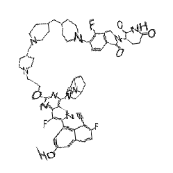 C#Cc1c(F)ccc2cc(O)cc(-c3ncc4c(N5CC6CCC(C5)N6)nc(OCCN5CCC(CN6CCC(CC7CCN(c8ccc9c(c8F)CN(C8CCC(=O)NC8=O)C9=O)CC7)CC6)CC5)nc4c3F)c12